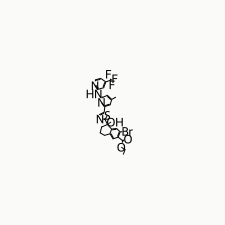 CCOC(=O)c1cc2c(cc1Br)[C@@](O)(c1ncc(-c3cc(C)cc(Nc4cc(C(F)(F)F)ccn4)n3)s1)CCC2